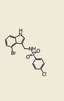 O=S(=O)(NCc1c[nH]c2cccc(Br)c12)c1ccc(Cl)cc1